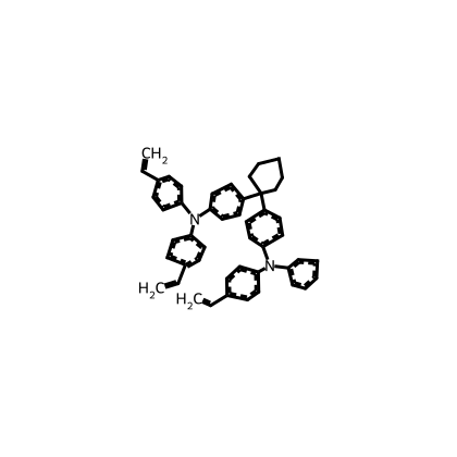 C=Cc1ccc(N(c2ccccc2)c2ccc(C3(c4ccc(N(c5ccc(C=C)cc5)c5ccc(C=C)cc5)cc4)CCCCC3)cc2)cc1